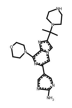 CC(C)(c1cn2cc(-c3cnc(N)nc3)nc(N3CCOCC3)c2n1)N1CCNCC1